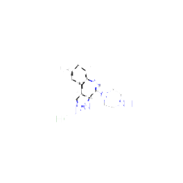 Cl.Cn1cc2c(n1)c(N1CCNCC1)nc1ccc(C(F)(F)F)cc12